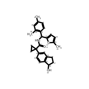 Cc1ccc(C(NC(=O)C2(c3ccc4c(c3)CCC4O)CC2)c2ccc(C)o2)c(C)c1